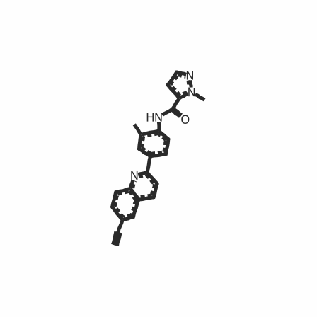 C#Cc1ccc2nc(-c3ccc(NC(=O)c4ccnn4C)c(C)c3)ccc2c1